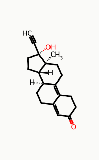 C#C[C@]1(O)CC[C@H]2[C@@H]3CCC4=CC(=O)CCC4=C3CC[C@@]21C